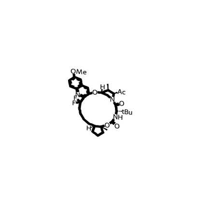 COc1ccc2nc3c(cc2c1)O[C@H]1CN(C(=O)[C@H](C(C)(C)C)NC(=O)O[C@]2(C)CCC[C@H]2CCCCC3(F)F)[C@H](C(C)=O)[C@@H]1C